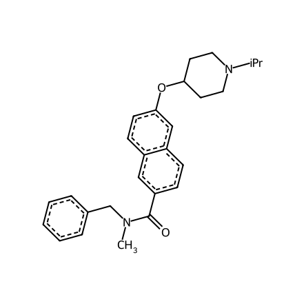 CC(C)N1CCC(Oc2ccc3cc(C(=O)N(C)Cc4ccccc4)ccc3c2)CC1